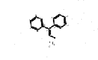 CC=C(c1ccccc1)c1ccccc1.P